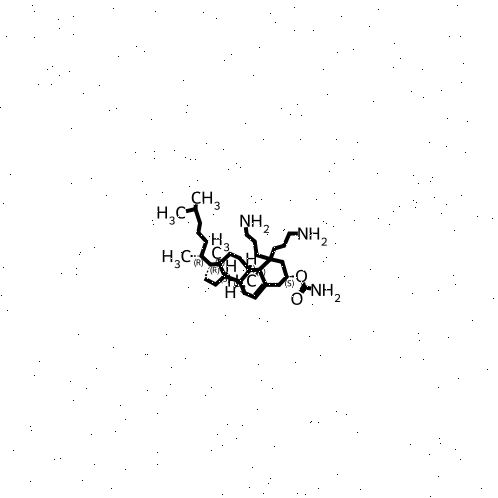 CC(C)CCC[C@@H](C)[C@H]1CC[C@H]2[C@@H]3CC=C4C[C@@H](OC(N)=O)CC(CCCN)(CCCN)[C@]4(C)[C@H]3CC[C@]12C